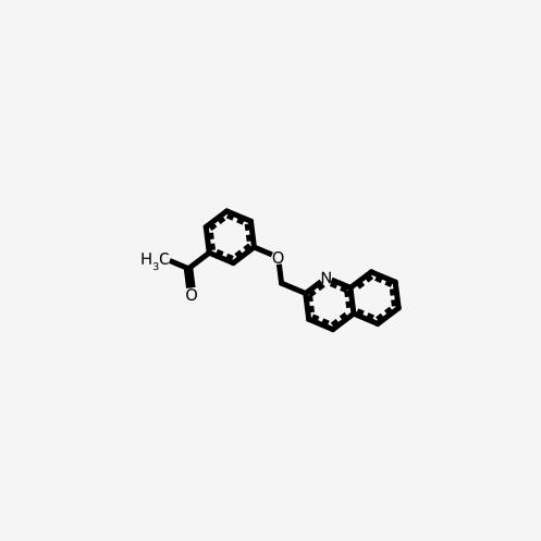 CC(=O)c1cccc(OCc2ccc3ccccc3n2)c1